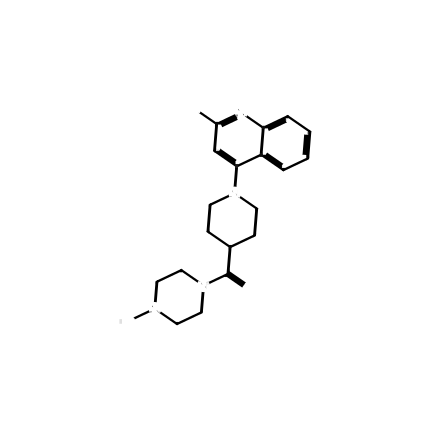 Cc1cc(N2CCC(C(=O)N3CCN(C(C)C)CC3)CC2)c2ccccc2n1